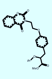 COC(=O)C(Cc1ccc(OCCn2c(=O)oc3ccccc3c2=O)cc1)OC(C)C